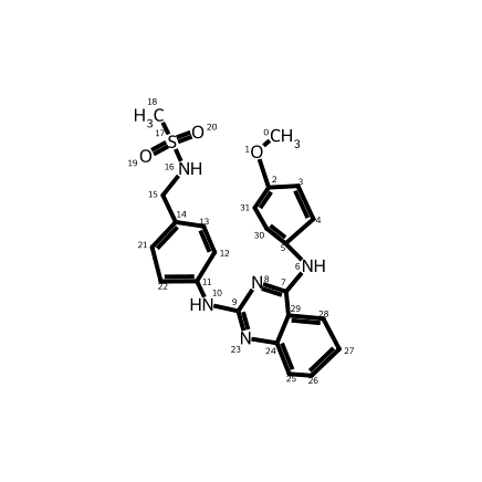 COc1ccc(Nc2nc(Nc3ccc(CNS(C)(=O)=O)cc3)nc3ccccc23)cc1